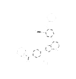 COc1cc(C(=O)N2C3CCC2COC3)ccc1-c1cc2nccc(-c3ccc(OC4CCOCC4)c(C#N)c3)c2o1